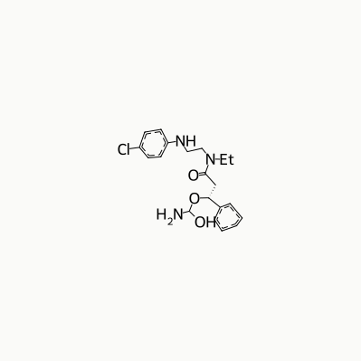 CCN(CCNc1ccc(Cl)cc1)C(=O)C[C@@H](OC(N)O)c1ccccc1